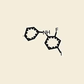 Fc1cc(I)ccc1Nc1cc[c]cc1